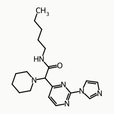 CCCCCNC(=O)C(c1ccnc(-n2ccnc2)n1)N1CCCCC1